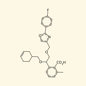 Cc1cccc(C(COCc2coc(-c3ccc(F)cc3)n2)OCC2CC=CCC2)c1C(=O)O